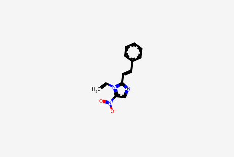 C=Cn1c([N+](=O)[O-])cnc1C=Cc1ccccc1